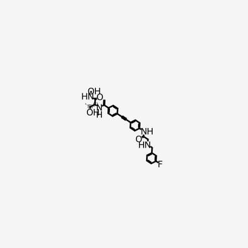 C=C(N[C@H](C(=O)NO)[C@@H](C)O)c1ccc(C#Cc2ccc(NC(=O)CNCc3cccc(F)c3)cc2)cc1